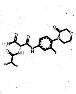 NC(=O)[C@@H](NC(=O)C(F)F)C(=O)Nc1ccc(N2CCOCC2=O)c(F)c1